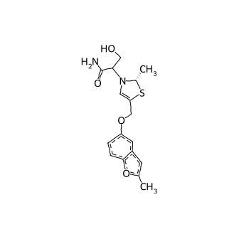 Cc1cc2cc(OCC3=CN(C(CO)C(N)=O)[C@H](C)S3)ccc2o1